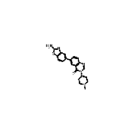 CN1CCN(n2cnc3ccc(-c4ccc5oc(N)nc5c4)cc3c2=O)CC1